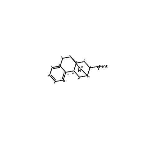 CCCCCC1CC2C3Cc4ccccc4C2CC1N3